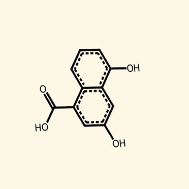 O=C(O)c1cc(O)cc2c(O)cccc12